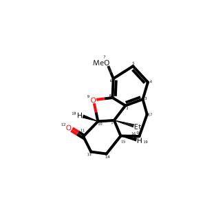 CC[C@]12c3c4ccc(OC)c3O[C@H]1C(=O)CC[C@H]2CC4